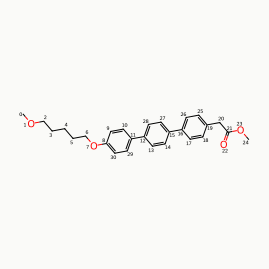 COCCCCCOc1ccc(-c2ccc(-c3ccc(CC(=O)OC)cc3)cc2)cc1